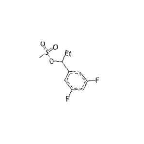 CCC(OS(C)(=O)=O)c1cc(F)cc(F)c1